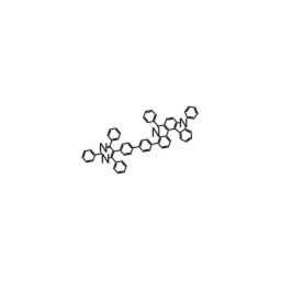 c1ccc(-c2nc(-c3ccccc3)c(-c3ccc(-c4ccc(-c5cccc6c5nc(-c5ccccc5)c5ccc7c(c8ccccc8n7-c7ccccc7)c56)cc4)cc3)c(-c3ccccc3)n2)cc1